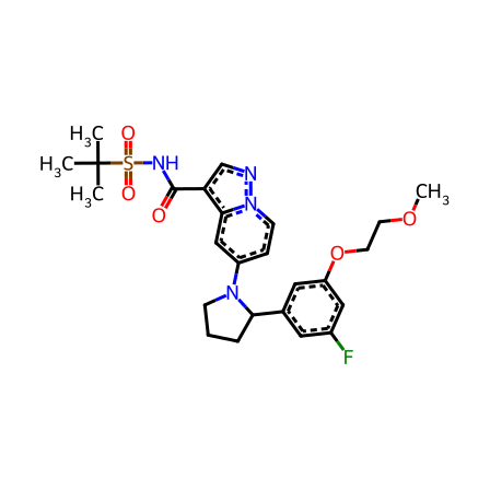 COCCOc1cc(F)cc(C2CCCN2c2ccn3ncc(C(=O)NS(=O)(=O)C(C)(C)C)c3c2)c1